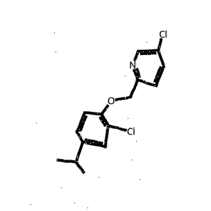 CC(C)c1ccc(OCc2ccc(Cl)cn2)c(Cl)c1